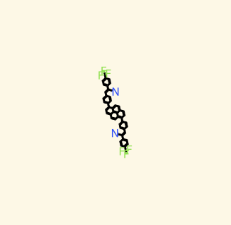 N#CC(=Cc1ccc(-c2ccc3ccc4c(-c5ccc(C=C(C#N)c6ccc(C(F)(F)F)cc6)cc5)ccc5ccc2c3c54)cc1)c1ccc(C(F)(F)F)cc1